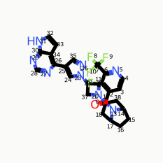 O=C(c1ccnc(C(F)(F)F)c1F)N1C2CCC1CC(N1CC(n3cc(-c4ncnc5[nH]ccc45)cn3)C1)C2